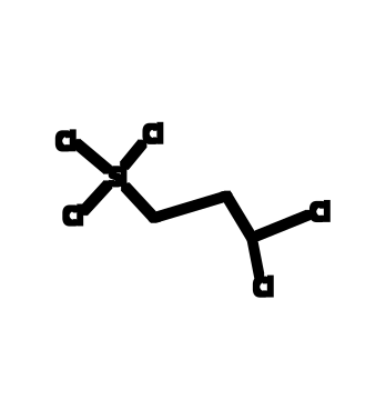 ClC(Cl)CC[Si](Cl)(Cl)Cl